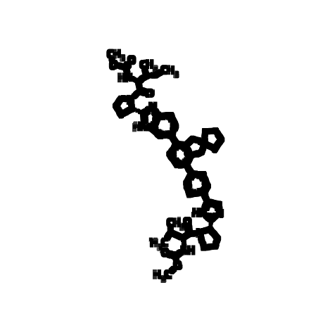 CCC(C)[C@H](NC(=O)OC)C(=O)N1CCC[C@H]1c1nc2ccc(-c3ccc(-c4ccc(-c5cnc([C@@H]6CCCN6C(=O)[C@@H](NC(=O)OC)C(C)C)[nH]5)cc4)c4c3CC3(CCCC3)C4)cc2[nH]1